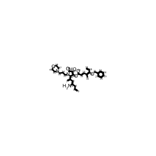 C=CC/C(N)=C/C(=C)C1C(OC(=O)/C=C/C(C)=C(\C=C)OCc2ccccc2)=C(O)C(=O)N1CCCN1CCOCC1